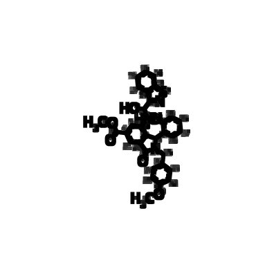 COC(=O)c1cc(NC(O)c2nsc3ccccc23)c2c(c1)C(=O)N(Cc1ccc(OC)cc1)C2c1ccccc1C